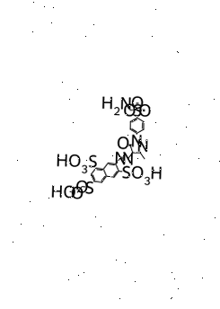 CC1=NN(c2ccc(S(=O)(=O)ON)cc2)C(=O)C1N=Nc1cc2c(S(=O)(=O)O)cc(SOOO)cc2cc1S(=O)(=O)O